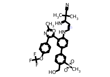 Cc1nc(-c2ccc(OC(F)(F)F)cc2)c(-c2cc(-c3ccc(CO)c(S(C)(=O)=O)c3)ccc2N/C=C\C(=N)C(C)(C)C#N)o1